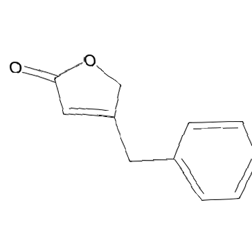 O=C1C=C(Cc2ccccc2)CO1